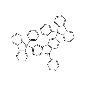 c1ccc(-n2c3ccc([Si]4(c5ccccc5)c5ccccc5-c5ccccc54)cc3c3cc([Si]4(c5ccccc5)c5ccccc5-c5ccccc54)ncc32)cc1